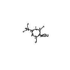 Cc1cc(N(C)C)cc(C)c1C(C)(C)C